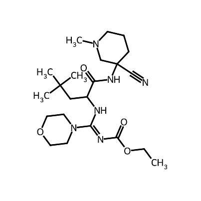 CCOC(=O)/N=C(\NC(CC(C)(C)C)C(=O)NC1(C#N)CCCN(C)C1)N1CCOCC1